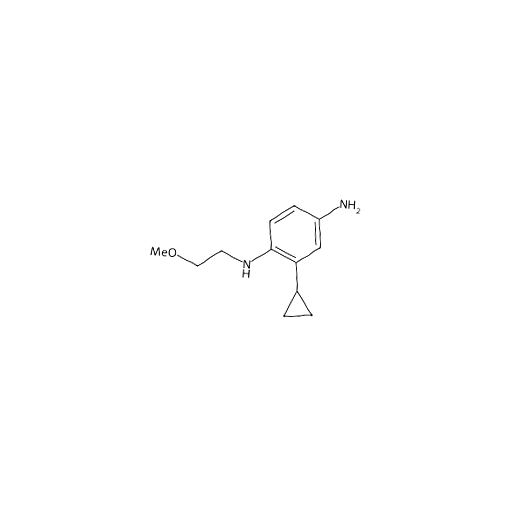 COCCNc1ccc(N)cc1C1CC1